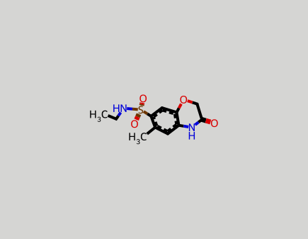 CCNS(=O)(=O)c1cc2c(cc1C)NC(=O)CO2